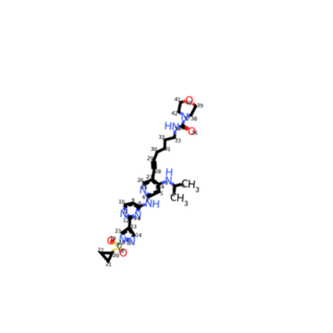 CC(C)Nc1cc(Nc2ccnc(-c3cnn(S(=O)(=O)C4CC4)c3)n2)ncc1C#CCCCCNC(=O)N1CCOCC1